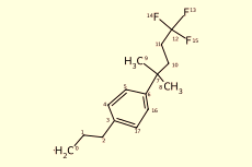 [CH2]CCc1ccc(C(C)(C)CCC(F)(F)F)cc1